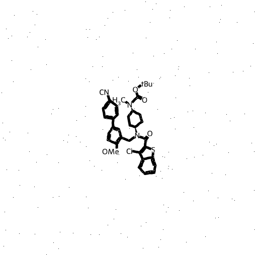 [C-]#[N+]c1ccc(-c2ccc(OC)c(CN(C(=O)c3sc4ccccc4c3Cl)[C@H]3CC[C@H](N(C)C(=O)OC(C)(C)C)CC3)c2)cc1